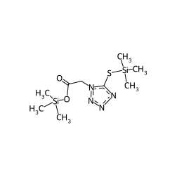 C[Si](C)(C)OC(=O)Cn1nnnc1S[Si](C)(C)C